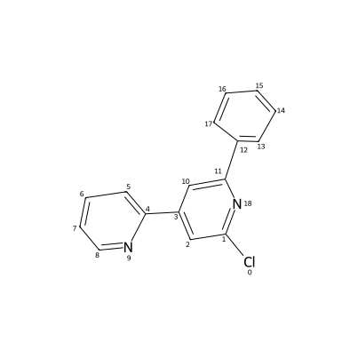 Clc1cc(-c2ccccn2)cc(-c2ccccc2)n1